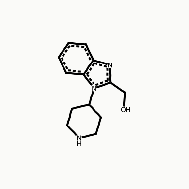 OCc1nc2ccccc2n1C1CCNCC1